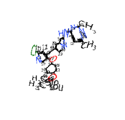 Cc1cc(Nc2cc3cc(-c4cc(Cl)ncc4O[C@H]4CC[C@H](O[Si](C)(C)C(C)(C)C)CC4)ccn3n2)nc(C)n1